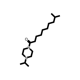 CC(C)CCCCCCCC(=O)N1CCN(C(C)C)CC1